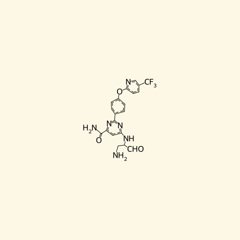 NCC(C=O)Nc1cc(C(N)=O)nc(-c2ccc(Oc3ccc(C(F)(F)F)cn3)cc2)n1